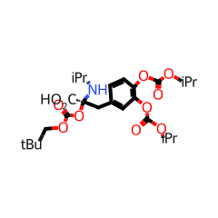 CC(C)N[C@@](Cc1ccc(OC(=O)OC(C)C)c(OC(=O)OC(C)C)c1)(OC(=O)OCC(C)(C)C)C(=O)O